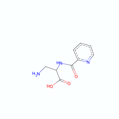 NCC(NC(=O)c1ccccn1)C(=O)O